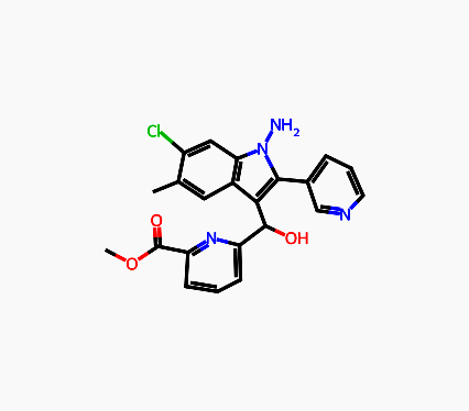 COC(=O)c1cccc(C(O)c2c(-c3cccnc3)n(N)c3cc(Cl)c(C)cc23)n1